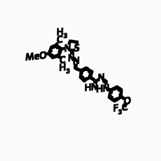 COc1cc(C)c(N2CCS/C2=N\N=C\c2ccc(C(=N)/N=C\Nc3ccc(OC(F)(F)F)cc3)cc2)c(C)c1